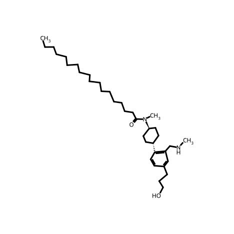 CCCCCCCCCCCCCCCCCC(=O)N(C)[C@H]1CC[C@H](c2ccc(CCCO)cc2CNC)CC1